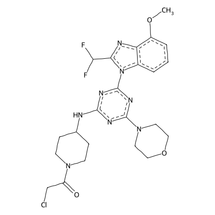 COc1cccc2c1nc(C(F)F)n2-c1nc(NC2CCN(C(=O)CCl)CC2)nc(N2CCOCC2)n1